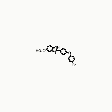 O=C(O)c1ccc2[nH]c(-c3ccc(Oc4ccc(Br)cc4)cc3)nc2c1